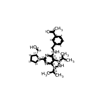 CC(=O)c1cccc(CNc2nc(N3CCC[C@@H]3CO)nc3c2N(C(C)C)NN3C(C)C)c1